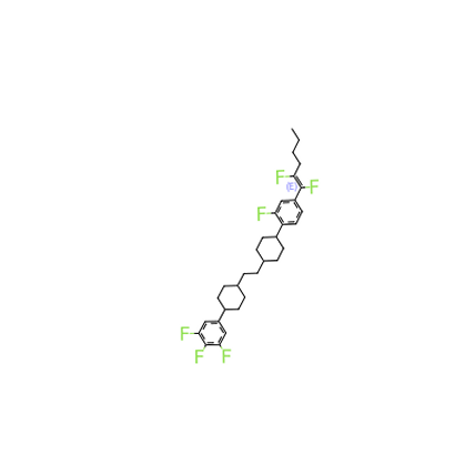 CCCC/C(F)=C(\F)c1ccc(C2CCC(CCC3CCC(c4cc(F)c(F)c(F)c4)CC3)CC2)c(F)c1